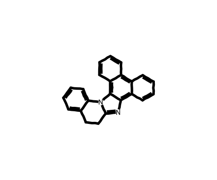 c1ccc2c(c1)CCc1nc3c4ccccc4c4ccccc4c3n1-2